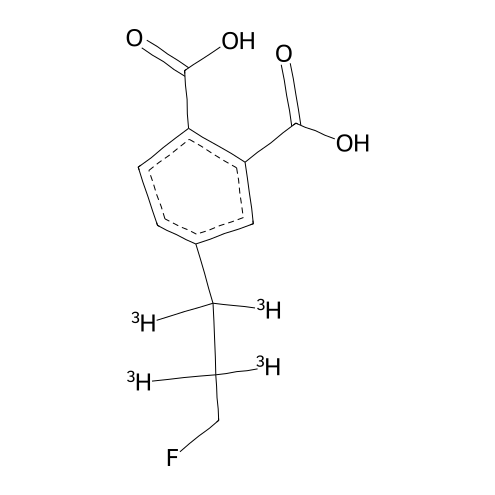 [3H]C([3H])(CF)C([3H])([3H])c1ccc(C(=O)O)c(C(=O)O)c1